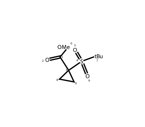 COC(=O)C1(S(=O)(=O)C(C)(C)C)CC1